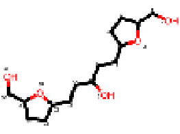 OCC1CCC(CCC(O)CCC2CCC(CO)O2)O1